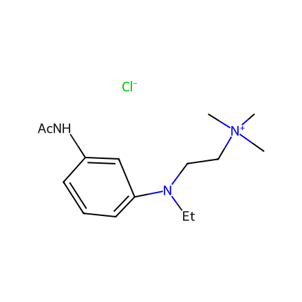 CCN(CC[N+](C)(C)C)c1cccc(NC(C)=O)c1.[Cl-]